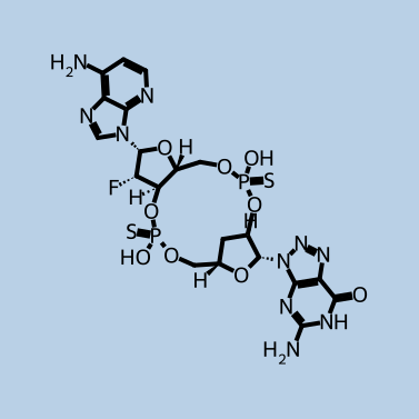 Nc1nc2c(nnn2[C@@H]2O[C@@H]3COP(O)(=S)O[C@H]4[C@H](F)[C@H](n5cnc6c(N)ccnc65)O[C@@H]4COP(O)(=S)O[C@@H]2C3)c(=O)[nH]1